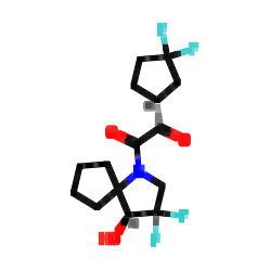 O=C(C(=O)N1CC(F)(F)[C@@H](O)C12CCCC2)[C@@H]1CCC(F)(F)C1